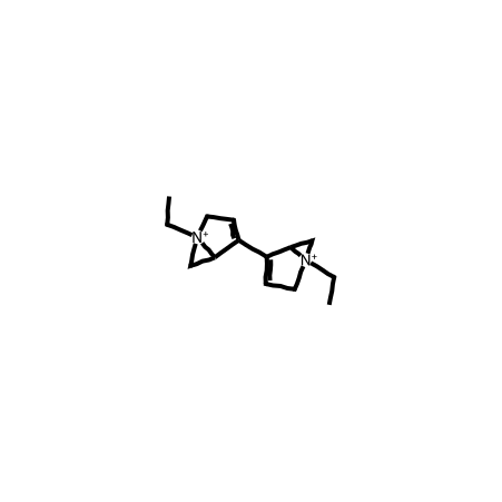 CC[N+]12CC=C(C3=CC[N+]4(CC)CC34)C1C2